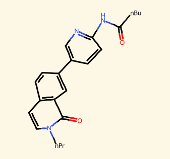 CCCCC(=O)Nc1ccc(-c2ccc3ccn(CCC)c(=O)c3c2)cn1